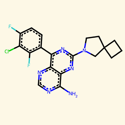 Nc1ncnc2c(-c3ccc(F)c(Cl)c3F)nc(N3CCC4(CCC4)C3)nc12